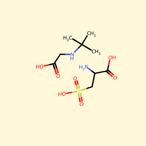 CC(C)(C)NCC(=O)O.NC(CS(=O)(=O)O)C(=O)O